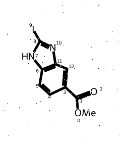 COC(=O)c1ccc2[nH]c(I)nc2c1